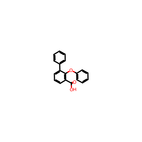 O=C(O)c1cccc(-c2ccccc2)c1Oc1ccccc1